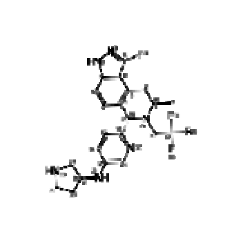 C[C@@H]1Cc2c(ccc3[nH]nc(F)c23)[C@@H](c2ccc(N[C@H]3CCNC3)cn2)N1CC(F)(F)F